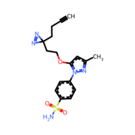 C#CCCC1(CCOc2cc(C)nn2-c2ccc(S(N)(=O)=O)cc2)N=N1